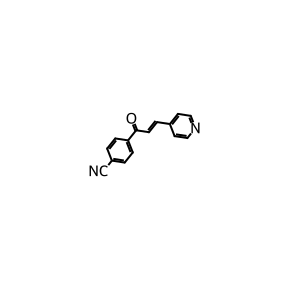 N#Cc1ccc(C(=O)/C=C/c2ccncc2)cc1